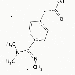 CN=C(c1ccc(CC(=O)O)cc1)N(C)C